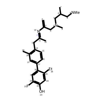 C=C(CN(C)CC(C)CNC)/N=C(\C)Cc1ccc(-c2cc(F)c(O)cc2CC)cc1C